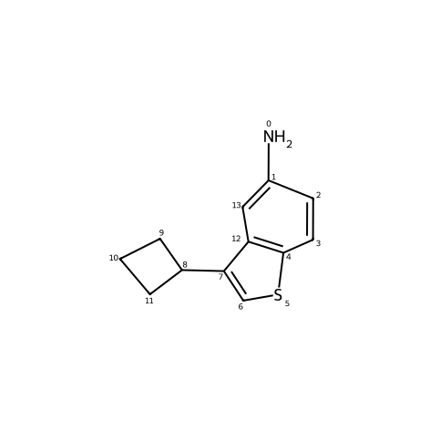 Nc1ccc2scc(C3CCC3)c2c1